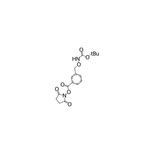 CC(C)(C)OC(=O)NOCc1cccc(C(=O)ON2C(=O)CCC2=O)c1